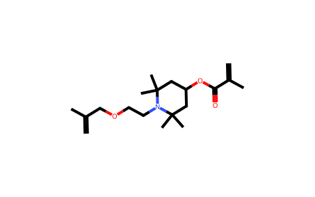 C=C(C)COCCN1C(C)(C)CC(OC(=O)C(=C)C)CC1(C)C